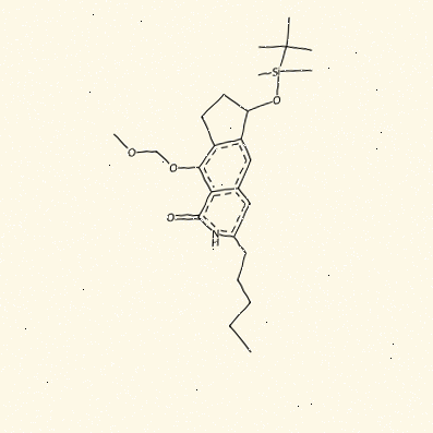 CCCCCc1cc2cc3c(c(OCOC)c2c(=O)[nH]1)CCC3O[Si](C)(C)C(C)(C)C